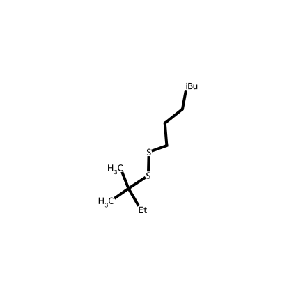 CCC(C)CCCSSC(C)(C)CC